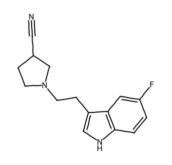 N#CC1CCN(CCc2c[nH]c3ccc(F)cc23)C1